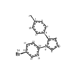 Cc1ccc(-c2cncn2-c2ccc(Br)cn2)cc1